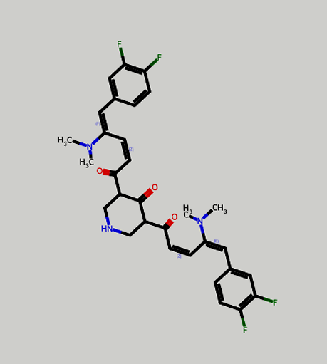 CN(C)C(/C=C\C(=O)C1CNCC(C(=O)/C=C\C(=C/c2ccc(F)c(F)c2)N(C)C)C1=O)=C/c1ccc(F)c(F)c1